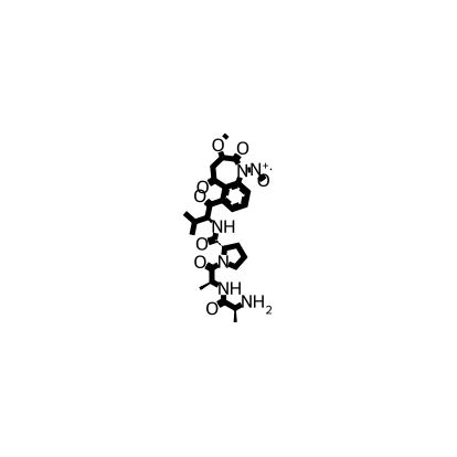 COC1CC(=O)c2c(C(=O)[C@@H](NC(=O)[C@@H]3CCCN3C(=O)[C@H](C)NC(=O)[C@H](C)N)C(C)C)cccc2N([N+]=O)C1=O